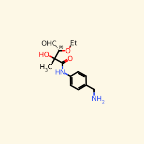 CCO[C@@H](C=O)C(C)(O)C(=O)Nc1ccc(CN)cc1